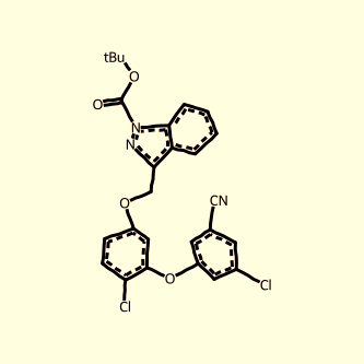 CC(C)(C)OC(=O)n1nc(COc2ccc(Cl)c(Oc3cc(Cl)cc(C#N)c3)c2)c2ccccc21